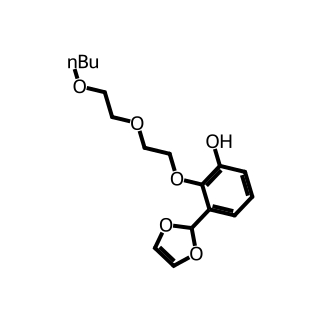 CCCCOCCOCCOc1c(O)cccc1C1OC=CO1